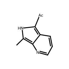 CC(=O)c1[nH]c(C)c2ncccc12